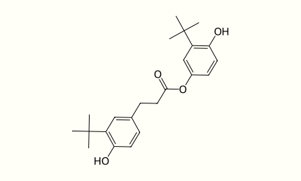 CC(C)(C)c1cc(CCC(=O)Oc2ccc(O)c(C(C)(C)C)c2)ccc1O